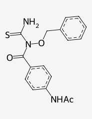 CC(=O)Nc1ccc(C(=O)N(OCc2ccccc2)C(N)=S)cc1